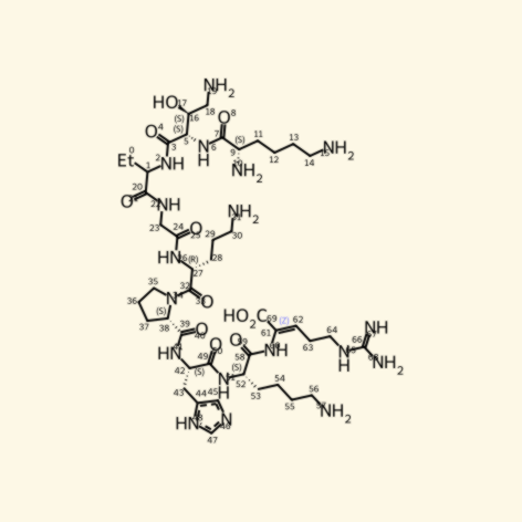 CCC(NC(=O)[C@@H](NC(=O)[C@@H](N)CCCCN)[C@@H](O)CN)C(=O)NCC(=O)N[C@H](CCCN)C(=O)N1CCC[C@H]1C(=O)N[C@@H](Cc1cnc[nH]1)C(=O)N[C@@H](CCCCN)C(=O)N/C(=C\CCNC(=N)N)C(=O)O